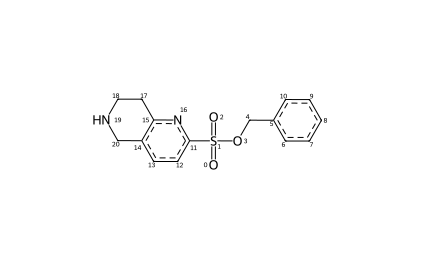 O=S(=O)(OCc1ccccc1)c1ccc2c(n1)CCNC2